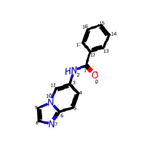 O=C(Nc1ccc2nccn2c1)c1ccccc1